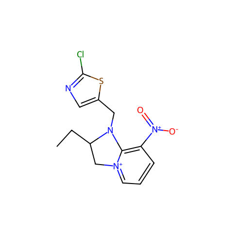 CCC1C[n+]2cccc([N+](=O)[O-])c2N1Cc1cnc(Cl)s1